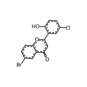 O=c1cc(-c2cc(Cl)ccc2O)oc2ccc(Br)cc12